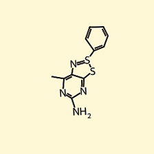 Cc1nc(N)nc2c1N=S(c1ccccc1)S2